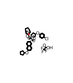 NC1CC2CCC(C1)N2C(=O)[C@@H]1C[C@@H](Oc2ccc(Cl)cc2)CN1S(=O)(=O)c1ccc2cc(OC3CCCC3)ccc2c1.O=C(O)C(F)(F)F